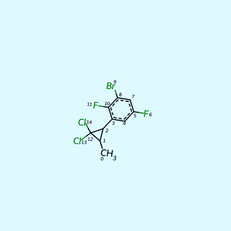 CC1C(c2cc(F)cc(Br)c2F)C1(Cl)Cl